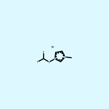 Cn1cc[n+](SC(F)F)c1.[Br-]